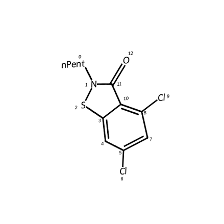 CCCCCn1sc2cc(Cl)cc(Cl)c2c1=O